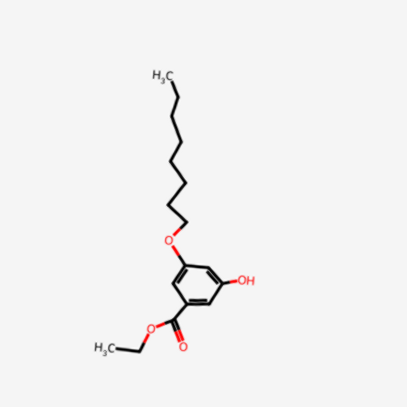 CCCCCCCCOc1cc(O)cc(C(=O)OCC)c1